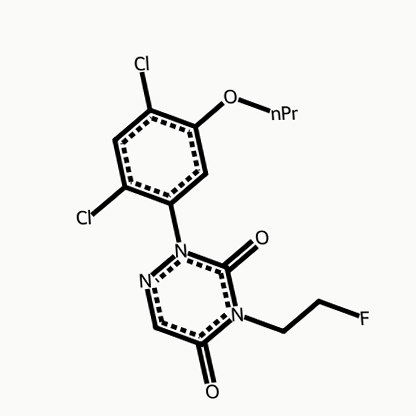 CCCOc1cc(-n2ncc(=O)n(CCF)c2=O)c(Cl)cc1Cl